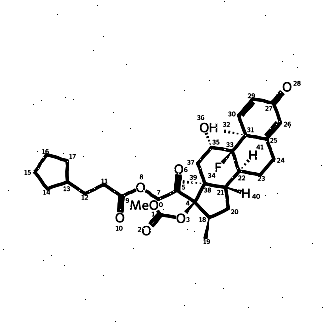 COC(=O)O[C@]1(C(=O)COC(=O)CCC2CCCC2)[C@H](C)C[C@H]2[C@@H]3CCC4=CC(=O)C=C[C@]4(C)[C@@]3(F)[C@@H](O)C[C@@]21C